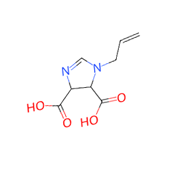 C=CCN1C=NC(C(=O)O)C1C(=O)O